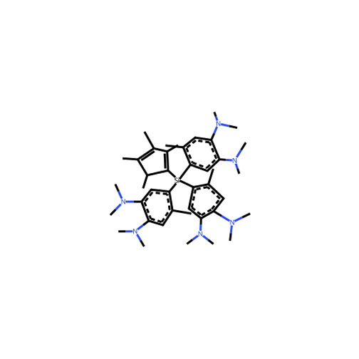 CC1=C(C)C(C)C([Si](c2cc(N(C)C)c(N(C)C)cc2C)(c2cc(N(C)C)c(N(C)C)cc2C)c2cc(N(C)C)c(N(C)C)cc2C)=C1C